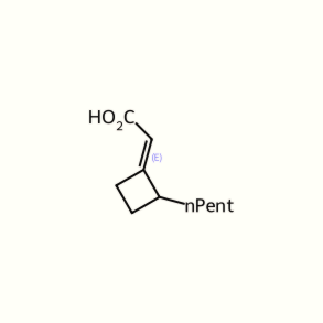 CCCCCC1CC/C1=C\C(=O)O